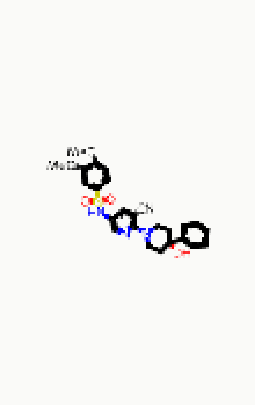 COc1ccc(S(=O)(=O)Nc2cnc(N3CCC(O)(c4ccccc4)CC3)c(C#N)c2)cc1OC